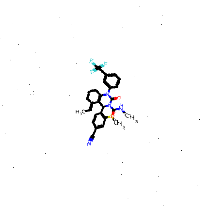 CC=C1CCCC2=C1C(c1ccc(C#N)cc1[S+](C)[O-])N(C(=O)NC)C(=O)N2c1cccc(C(F)(F)F)c1